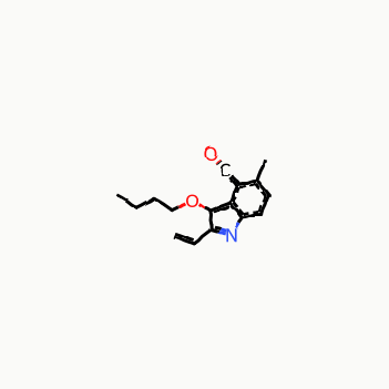 C=CC1=Nc2ccc(C)c(=C=O)c2=C1OCCCC